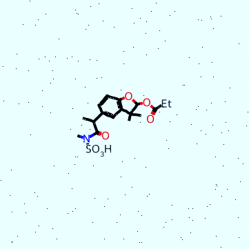 CCC(=O)OC1Oc2ccc(C(C)C(=O)N(C)S(=O)(=O)O)cc2C1(C)C